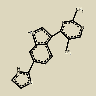 Cc1ncc(C(F)(F)F)c(-c2c[nH]c3cc(-c4ncc[nH]4)ccc23)n1